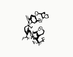 FC(F)c1ccc(-n2cnc3cc(OC4COC4)c(Br)cc32)nc1-n1nc(C(F)(F)F)c2c1COCC2